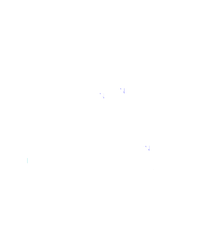 O=C(c1ccccc1)N1CCc2c(c(-c3ccc(F)cc3)nn2Cc2ccccc2)C1